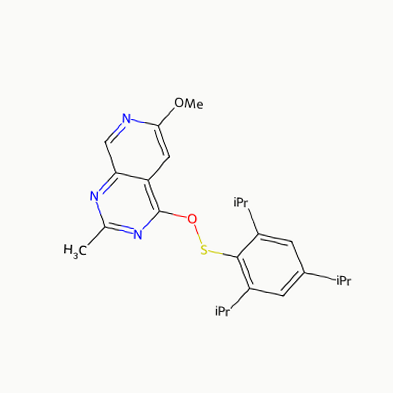 COc1cc2c(OSc3c(C(C)C)cc(C(C)C)cc3C(C)C)nc(C)nc2cn1